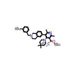 Cc1nc(C)c([C@H](OC(C)(C)C)C(=O)O)c(N2CCC(C)(C)CC2)c1-c1ccc2c(c1)CCN(Cc1cccc(C(C)(C)C)c1)C2